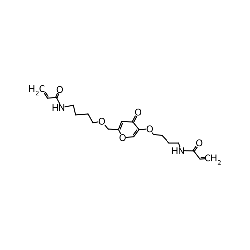 C=CC(=O)NCCCCOCc1cc(=O)c(OCCCCNC(=O)C=C)co1